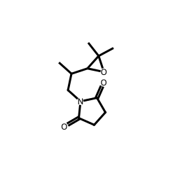 CC(CN1C(=O)CCC1=O)C1OC1(C)C